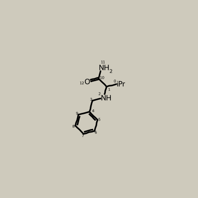 CC(C)C(NCc1ccccc1)C(N)=O